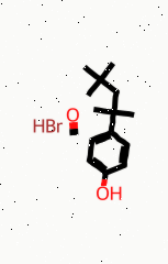 Br.C=O.CC(C)(C)CC(C)(C)c1ccc(O)cc1